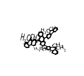 CC1(C)c2ccccc2-c2ccc(-c3c4ccccc4c(-c4ccc5c(c4)C(C)(C)c4ccccc4-5)c4cc5c(cc34)-c3cc4c(cc3[Si]5(C)C)-c3ccccc3C4(C)C)cc21